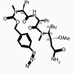 CC[C@H](C)[C@@H]([C@@H](CC(N)=O)OC)N(C)C(=O)[C@@H](NC(=O)[C@H](C(C)C)N(C)C(=O)OCc1ccc(N=[N+]=[N-])cc1)C(C)C